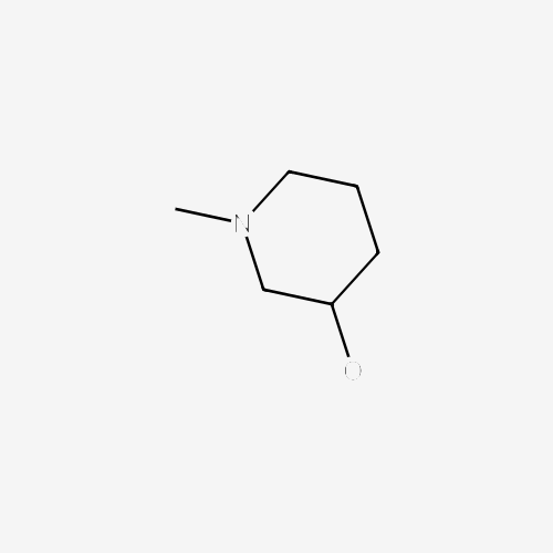 CN1CCCC([O])C1